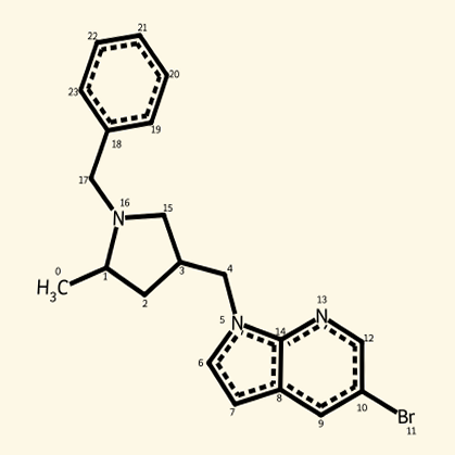 CC1CC(Cn2ccc3cc(Br)cnc32)CN1Cc1ccccc1